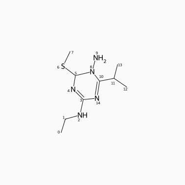 CCNC1=NC(SC)N(N)C(C(C)C)=N1